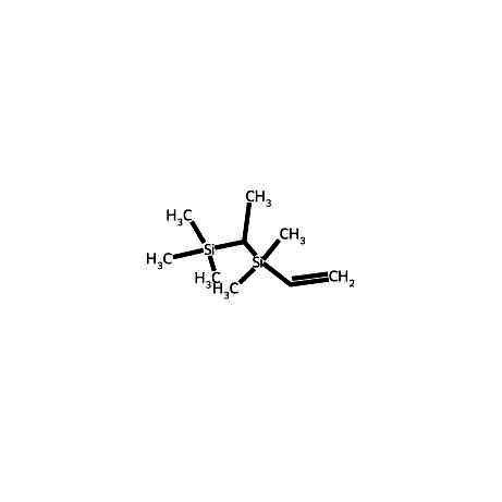 C=C[Si](C)(C)C(C)[Si](C)(C)C